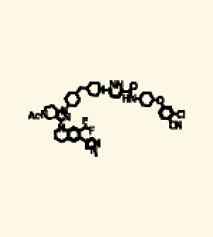 CC(=O)N1CCc2c(c(N3CCCc4cc(-c5cnn(C)c5)c(C(F)F)cc43)nn2C2CCC(CC3CCN(c4ccc(C(=O)NC5CCC(Oc6ccc(C#N)c(Cl)c6)CC5)nn4)CC3)CC2)C1